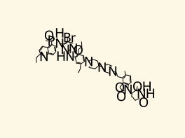 CCOc1cc(N2CCC(N3CCN(CCc4c(C)ccc5c4oc(=O)n5C4CCC(=O)NC4O)CC3)CC2)c(CC)cc1Nc1ncc(Br)c(Nc2ccc3nc(CC)ccc3c2P(C)(C)=O)n1